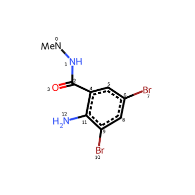 CNNC(=O)c1cc(Br)cc(Br)c1N